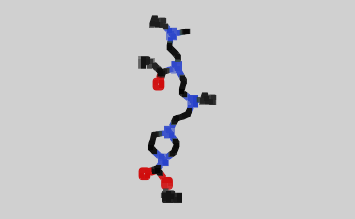 CC(=O)N(C)CCN(CCN(CCN1CCN(C(=O)OC(C)(C)C)CC1)C(C)=O)C(=O)C(C)C